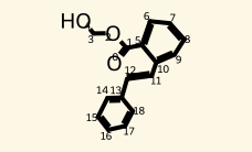 O=C(OCO)c1ccccc1C=Cc1ccccc1